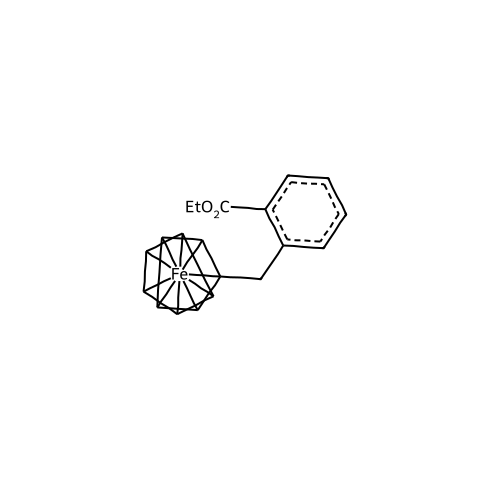 CCOC(=O)c1ccccc1C[C]12[CH]3[CH]4[CH]5[CH]1[Fe]45321678[CH]2[CH]1[CH]6[CH]7[CH]28